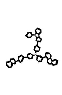 c1ccc(-n2c3ccccc3c3ccc(-c4ccc(N(c5ccc(-c6ccc(-c7ccc8ccccc8c7)cc6)cc5)c5cccc(-c6cccc7c6ccc6ccccc67)c5)cc4)cc32)cc1